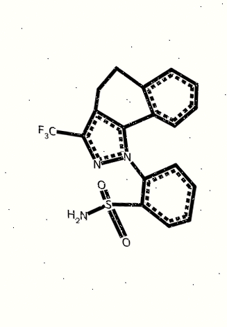 NS(=O)(=O)c1ccccc1-n1nc(C(F)(F)F)c2c1-c1ccccc1CC2